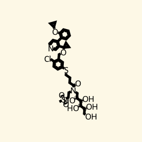 CS(=O)(=O)CCN(C[C@H](O)[C@@H](O)[C@H](O)[C@H](O)CO)C(=O)CCCSc1ccc(Cl)c(COC2(c3cnccc3-c3ccccc3OC3CC3)CC2)c1